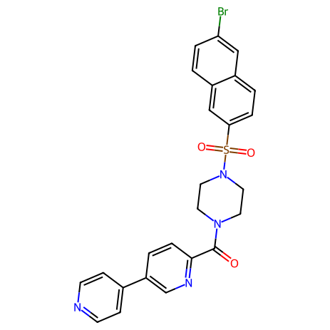 O=C(c1ccc(-c2ccncc2)cn1)N1CCN(S(=O)(=O)c2ccc3cc(Br)ccc3c2)CC1